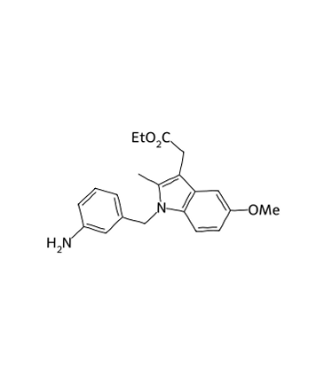 CCOC(=O)Cc1c(C)n(Cc2cccc(N)c2)c2ccc(OC)cc12